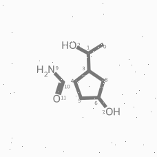 CC(O)C1CCC(O)C1.NC=O